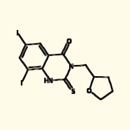 O=c1c2cc(I)cc(I)c2[nH]c(=S)n1CC1CCCO1